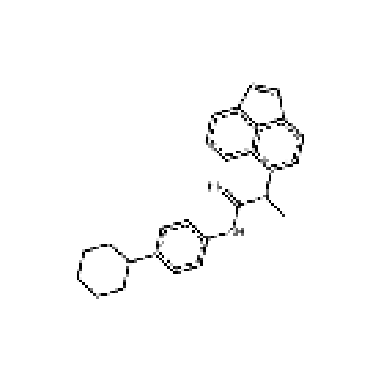 CN(C(=N)Nc1ccc(C2CCCCC2)cc1)c1ccc2c3c(cccc13)C=C2